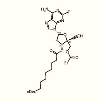 C#C[C@]1(COC(=O)CC)O[C@@H](n2cnc3c(N)nc(F)nc32)C[C@@H]1OC(=O)CCCCCCCCCCCCCCCCC